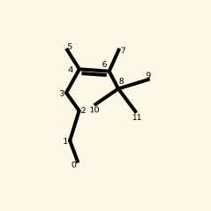 CCCCC(C)=C(C)C(C)(C)C